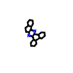 c1ccc2c(c1)ccc1nc3c4ccccc4c4ccccc4c3nc12